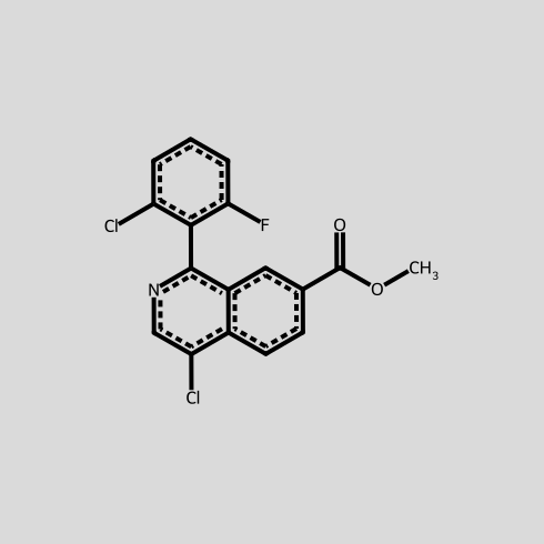 COC(=O)c1ccc2c(Cl)cnc(-c3c(F)cccc3Cl)c2c1